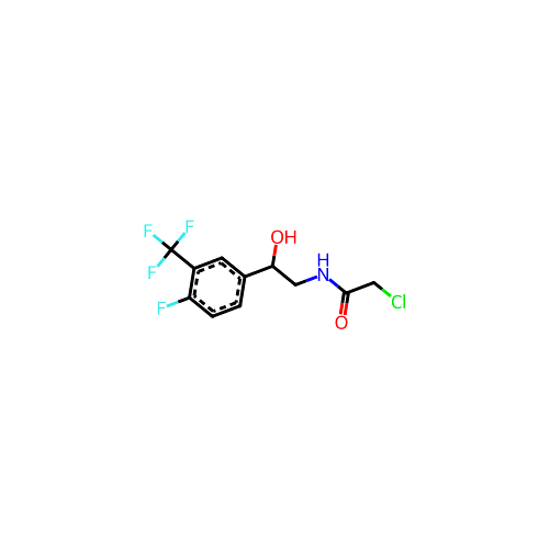 O=C(CCl)NCC(O)c1ccc(F)c(C(F)(F)F)c1